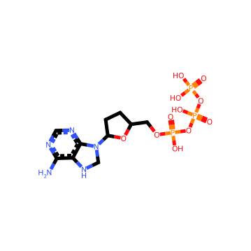 Nc1ncnc2c1NCN2C1CCC(COP(=O)(O)OP(=O)(O)OP(=O)(O)O)O1